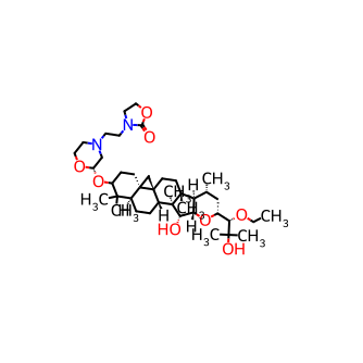 CCO[C@@H]([C@H]1C[C@@H](C)[C@H]2[C@H](O1)[C@H](O)[C@@]1(C)[C@@H]3CC[C@H]4C(C)(C)C(O[C@H]5CN(CCN6CCOC6=O)CCO5)CC[C@@]45C[C@@]35CC[C@]21C)C(C)(C)O